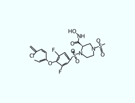 C=C(Cl)/C=C\C(=C/C)Oc1c(F)cc(S(=O)(=O)N2CCN(S(C)(=O)=O)C[C@@H]2C(=O)NO)cc1F